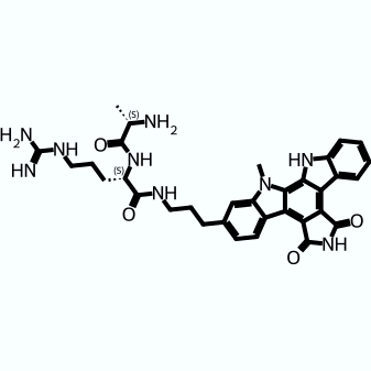 C[C@H](N)C(=O)N[C@@H](CCCNC(=N)N)C(=O)NCCCc1ccc2c3c4c(c5c6ccccc6[nH]c5c3n(C)c2c1)C(=O)NC4=O